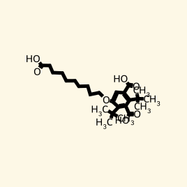 CC(C)(C)c1c(OCCCCCCCCCC(=O)O)cc(C(=O)O)c(C(C)(C)C)c1C(=O)O